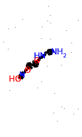 Cc1c(OCCCNCCc2ccc(N)cc2)cccc1-c1cccc(OCCCN2CCC(O)C2)c1C